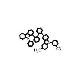 CC1=Cc2c(n(C3C=C(C#N)C=CC3)c3ccc(-c4ccccc4-c4ccccc4-c4cccc5c6c(n(-c7ccccc7)c45)C=CCC6)cc23)CC1